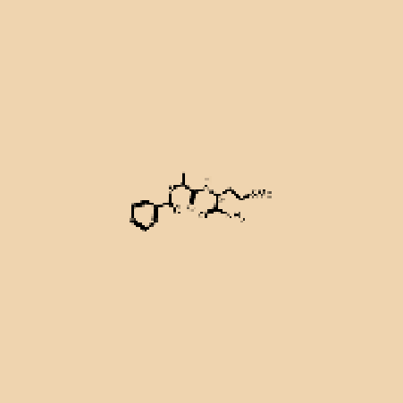 CSCC[C@H](NC(=O)C(C)SC(=O)c1ccccc1)C(N)=O